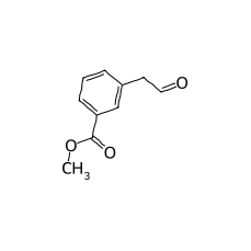 COC(=O)c1cccc(CC=O)c1